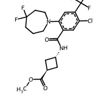 COC(=O)[C@H]1C[C@H](NC(=O)c2cc(Cl)c(C(F)(F)F)cc2N2CCCC(F)(F)CC2)C1